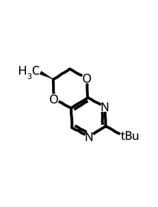 C[C@H]1COc2nc(C(C)(C)C)ncc2O1